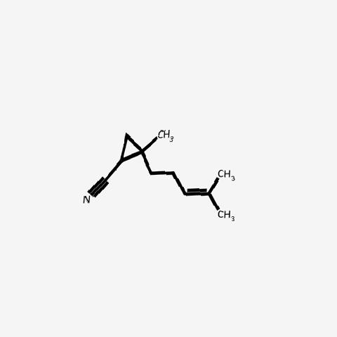 CC(C)=CCCC1(C)CC1C#N